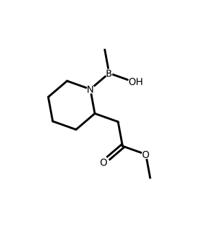 COC(=O)CC1CCCCN1B(C)O